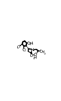 C[C@H](O)CN1C[C@H](c2c(O)ccc(Cl)c2Cl)CC1=O